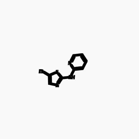 CCc1cnc(Nc2ccccn2)s1